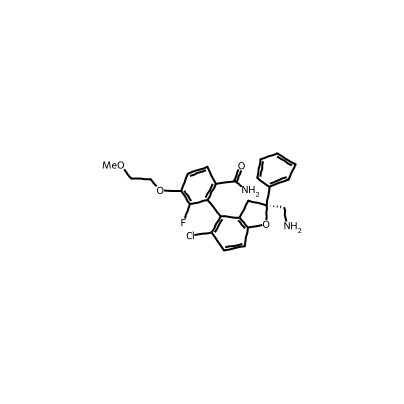 COCCOc1ccc(C(N)=O)c(-c2c(Cl)ccc3c2C[C@@](CN)(c2ccccc2)O3)c1F